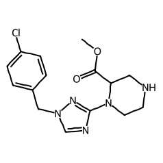 COC(=O)C1CNCCN1c1ncn(Cc2ccc(Cl)cc2)n1